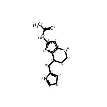 CC(=O)Nc1cc2c(s1)C(CC1=CCC=N1)CCO2